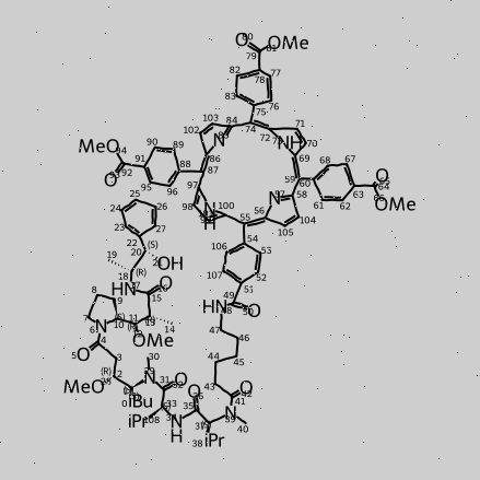 CC[C@H](C)[C@@H]([C@@H](CC(=O)N1CCC[C@H]1[C@H](OC)[C@@H](C)C(=O)N[C@H](C)[C@@H](O)c1ccccc1)OC)N(C)C(=O)[C@@H](NC(=O)[C@H](C(C)C)N(C)C(=O)CCCCCNC(=O)c1ccc(-c2c3nc(c(-c4ccc(C(=O)OC)cc4)c4ccc([nH]4)c(-c4ccc(C(=O)OC)cc4)c4nc(c(-c5ccc(C(=O)OC)cc5)c5ccc2[nH]5)C=C4)C=C3)cc1)C(C)C